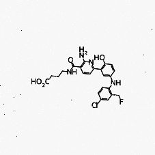 Nc1nc(-c2cc(Nc3ccc(Cl)cc3CF)ccc2O)ccc1C(=O)NCCCC(=O)O